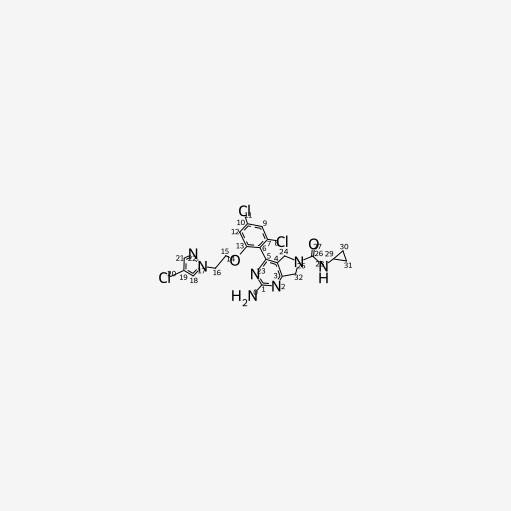 Nc1nc2c(c(-c3c(Cl)cc(Cl)cc3OCCn3cc(Cl)cn3)n1)CN(C(=O)NC1CC1)C2